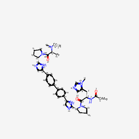 COC(=O)N[C@@H](Cc1cncn1C)C(=O)N1CCC[C@H]1c1ncc(-c2ccc(-c3ccc(-c4cnc([C@@H]5CCCN5C(=O)[C@H](C(C)C)N(C)C(=O)O)[nH]4)cc3)cc2)[nH]1